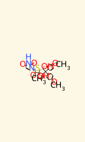 COc1ccc(C(c2ccccc2)(c2ccc(OC)cc2)C(O)[C@H]2S[C@@H](n3ccc(=O)[nH]c3=O)[C@H](OC)[C@@H]2O)cc1